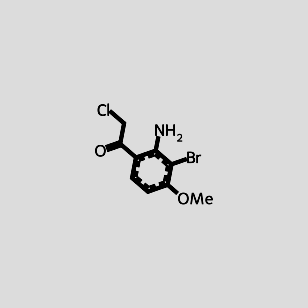 COc1ccc(C(=O)CCl)c(N)c1Br